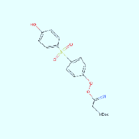 CCCCCCCCCCCC(=[N])OOc1ccc(S(=O)(=O)c2ccc(O)cc2)cc1